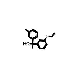 CCOc1cccc(C(C)(O)c2cccc(C)c2)c1